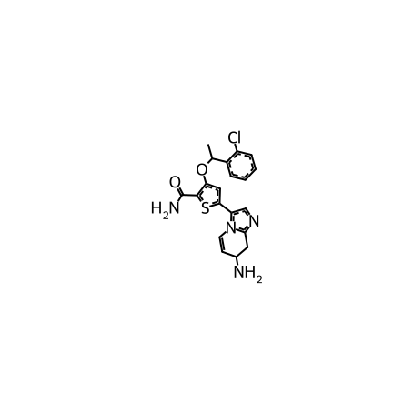 CC(Oc1cc(-c2cnc3n2C=CC(N)C3)sc1C(N)=O)c1ccccc1Cl